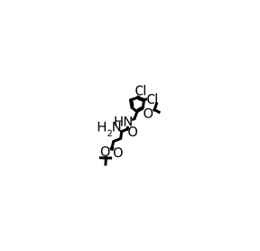 CC(C)Oc1c(CNC(=O)[C@H](N)CCC(=O)OC(C)(C)C)ccc(Cl)c1Cl